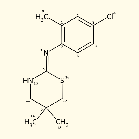 Cc1cc(Cl)ccc1N=C1NCC(C)(C)CS1